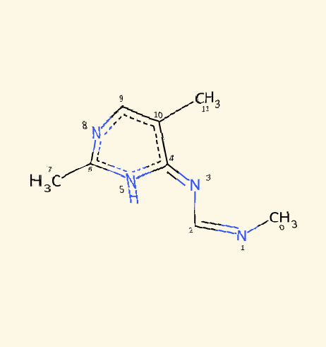 C/N=C\N=c1/[nH]c(C)ncc1C